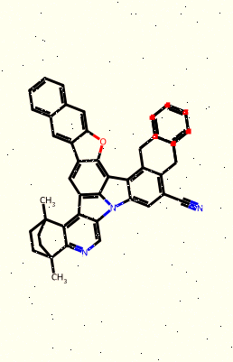 CC12CCC(C)(CC1)c1c2ncc2c1c1cc3c4cc5ccccc5cc4oc3c3c4c5c(c(C#N)cc4n2c13)C1c2ccccc2C5c2ccccc21